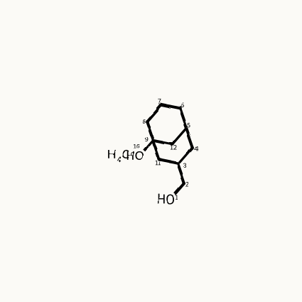 C.OCC1CC2CCCC(O)(C1)C2